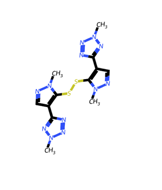 Cn1nnc(-c2cnn(C)c2SSc2c(-c3nnn(C)n3)cnn2C)n1